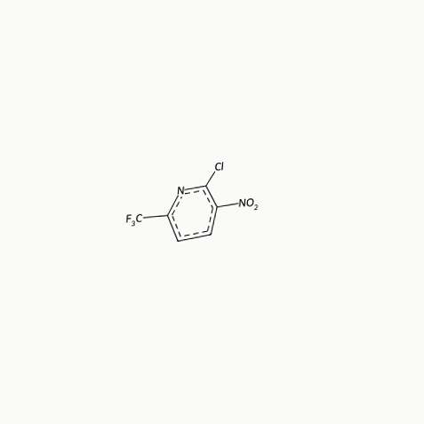 O=[N+]([O-])c1ccc(C(F)(F)F)nc1Cl